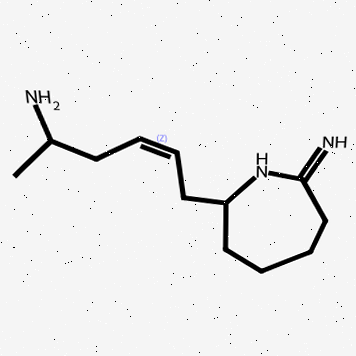 CC(N)C/C=C\CC1CCCCC(=N)N1